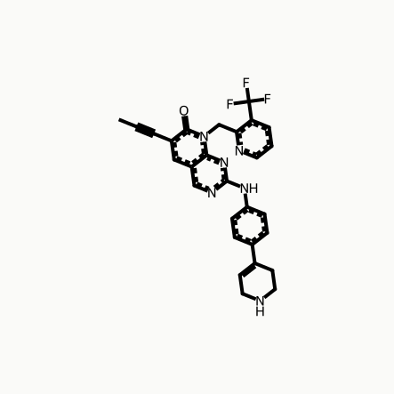 CC#Cc1cc2cnc(Nc3ccc(C4=CCNCC4)cc3)nc2n(Cc2ncccc2C(F)(F)F)c1=O